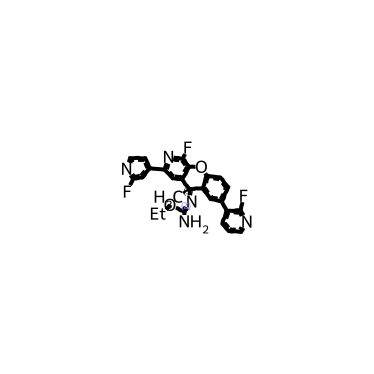 CCO/C(N)=N\[C@@]1(C)c2cc(-c3cccnc3F)ccc2Oc2c1cc(-c1ccnc(F)c1)nc2F